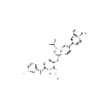 CC(=O)c1nn(CC(=O)N2C[C@H](F)C[C@H]2C(=O)Nc2cccc(Br)n2)c2ccc(-c3cnc(N)[n+]([O-])c3)cc12